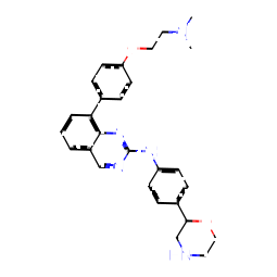 CN(C)CCOc1ccc(-c2cccc3cnc(Nc4ccc(C5CNCCO5)cc4)nc23)cc1